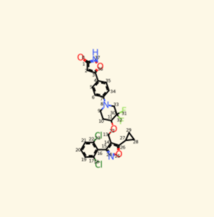 O=c1cc(-c2ccc(N3CCC(OCc4c(-c5c(Cl)cccc5Cl)noc4C4CC4)C(F)(F)C3)cc2)o[nH]1